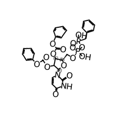 O=C(Oc1ccccc1)OC1[C@@H](OC(=O)Oc2ccccc2)[C@@H](COP(=O)(O)OP(=O)(O)Cc2ccccc2)O[C@H]1n1ccc(=O)[nH]c1=O